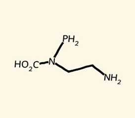 NCCN(P)C(=O)O